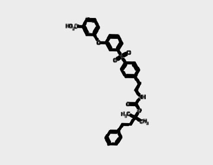 CC(C)(CCc1ccccc1)OC(=O)NCCc1ccc(S(=O)(=O)c2cccc(Oc3cccc(C(=O)O)c3)c2)cc1